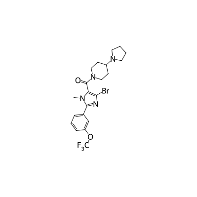 Cn1c(-c2cccc(OC(F)(F)F)c2)nc(Br)c1C(=O)N1CCC(N2CCCC2)CC1